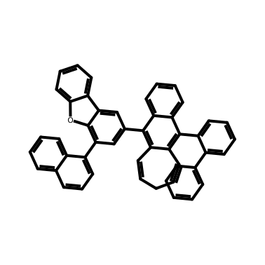 C1#Cc2c(c(-c3cc(-c4cccc5ccccc45)c4oc5ccccc5c4c3)c3ccccc3c2-c2ccccc2C2=CC=CCC2)C=CC1